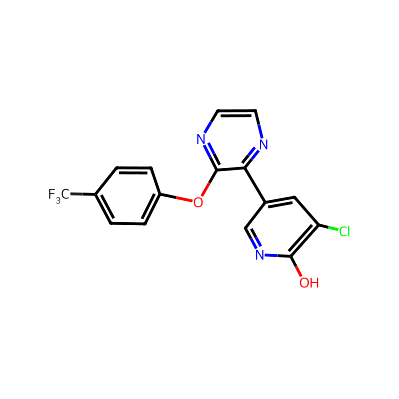 Oc1ncc(-c2nccnc2Oc2ccc(C(F)(F)F)cc2)cc1Cl